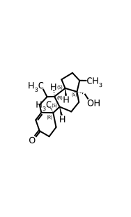 CC1CC2=CC(=O)CC[C@]2(C)[C@H]2CC[C@]3(CO)C(C)CC[C@H]3[C@H]12